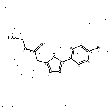 CCOC(=O)Cc1nnc(-c2ccc(Br)cc2)s1